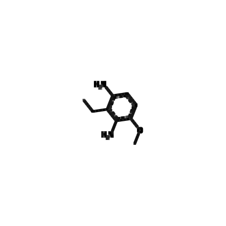 CCc1c(N)ccc(OC)c1N